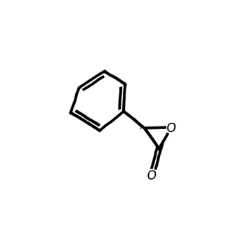 O=C1O[C]1c1ccccc1